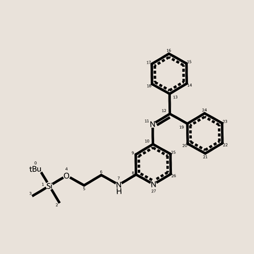 CC(C)(C)[Si](C)(C)OCCNc1cc(N=C(c2ccccc2)c2ccccc2)ccn1